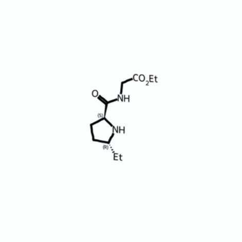 CCOC(=O)CNC(=O)[C@@H]1CC[C@@H](CC)N1